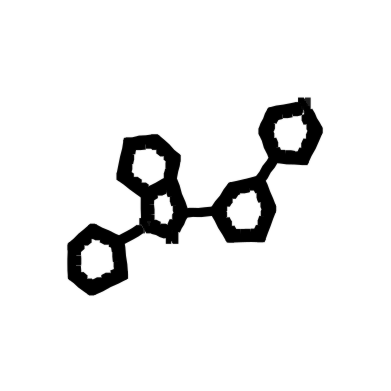 c1ccc(-n2nc(-c3cccc(-c4ccncc4)c3)c3ccccc32)cc1